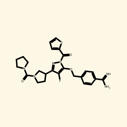 N=C(N)c1ccc(COc2c(F)c(C3CCN(C(=O)N4CCCC4)C3)nn2C(=O)c2cccs2)cc1